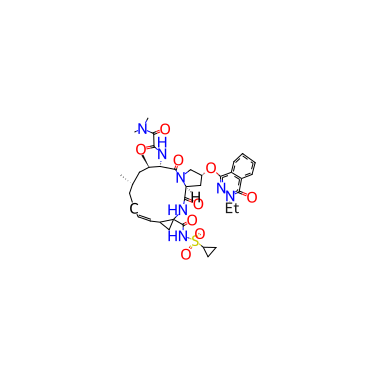 CCn1nc(O[C@@H]2C[C@H]3C(=O)NC4(C(=O)NS(=O)(=O)C5CC5)CC4/C=C\CC[C@H](C)C[C@@H](C)[C@H](NC(=O)C(=O)N(C)C)C(=O)N3C2)c2ccccc2c1=O